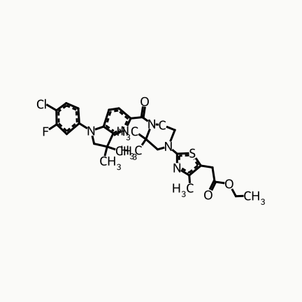 CCOC(=O)Cc1sc(N2CCN(C(=O)c3ccc4c(n3)C(C)(C)CN4c3ccc(Cl)c(F)c3)C(C)(C)C2)nc1C